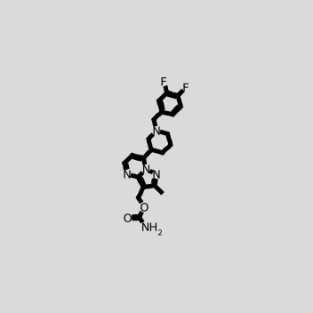 Cc1nn2c(C3CCCN(Cc4ccc(F)c(F)c4)C3)ccnc2c1COC(N)=O